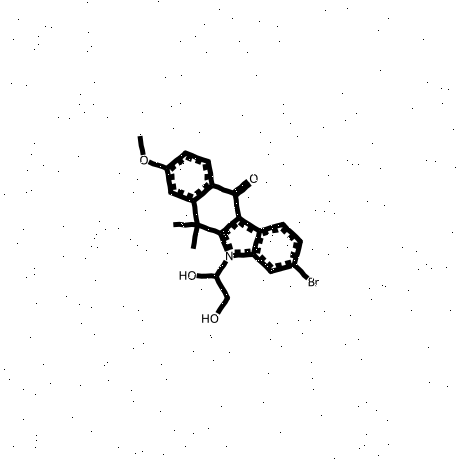 COc1ccc2c(c1)C(C)(C)c1c(c3ccc(Br)cc3n1C(O)CO)C2=O